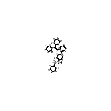 O=C(Nc1ccc(-c2ccccc2C=C(c2ccccc2)c2ccccc2)cc1)c1ccccc1